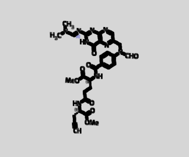 C#CC[C@H](NC(=O)CC[C@H](NC(=O)c1ccc(N(C=O)Cc2cnc3nc(/N=C/N(C)C)[nH]c(=O)c3n2)cc1)C(=O)OC)C(=O)OC